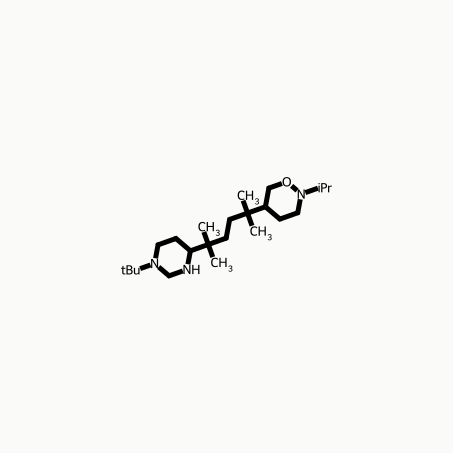 CC(C)N1CCC(C(C)(C)CCC(C)(C)C2CCN(C(C)(C)C)CN2)CO1